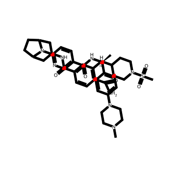 C[C@H](NC(=O)c1ccc(N2C3CCC2CC(NC(=O)c2ccc(C(N)=O)c(NC4CCN(S(C)(=O)=O)CC4)c2)C3)nc1)c1ccc(N2CCN(C)CC2)cc1